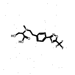 CN(CCc1ccc(-c2noc(C(F)(F)F)n2)cc1)C(CO)C(=O)O